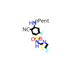 CCCCCNc1cc(F)c(S(=O)(=O)Nc2ncc(F)s2)cc1C#N